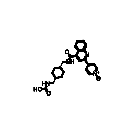 O=C(O)NC[C@H]1CC[C@H](CNC(=O)c2cc(-c3cc[n+]([O-])cc3)nc3ccccc23)CC1